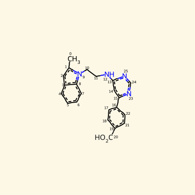 Cc1cc2ccccc2n1CCNc1cc(-c2ccc(C(=O)O)cc2)ncn1